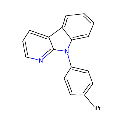 CC(C)c1ccc(-n2c3ccccc3c3cccnc32)cc1